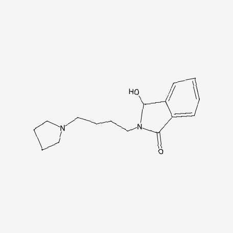 O=C1c2ccccc2C(O)N1CCCCN1CCCC1